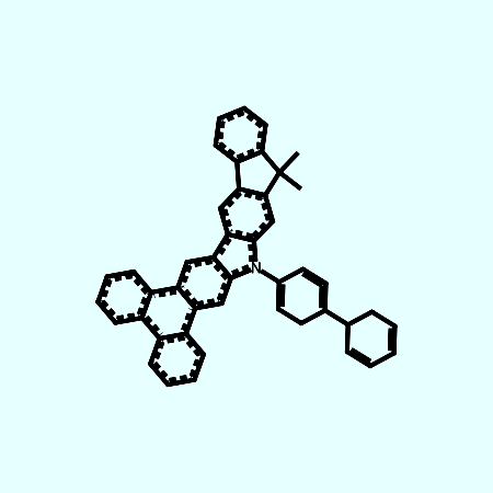 CC1(C)c2ccccc2-c2cc3c4cc5c6ccccc6c6ccccc6c5cc4n(C4=CCC(C5C=CC=CC5)=C=C4)c3cc21